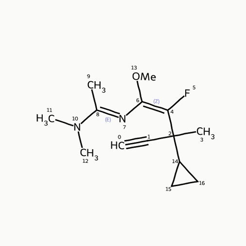 C#CC(C)(/C(F)=C(\N=C(/C)N(C)C)OC)C1CC1